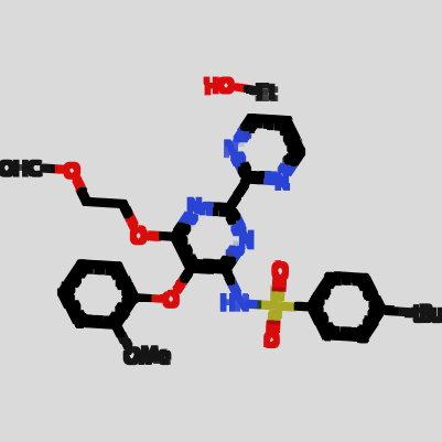 CCO.COc1ccccc1Oc1c(NS(=O)(=O)c2ccc(C(C)(C)C)cc2)nc(-c2ncccn2)nc1OCCOC=O